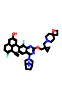 C#Cc1c(F)ccc2cc(O)cc(-c3c(Cl)cc4c(N5CC6CCC(C5)N6)nc(OCC5(CN6CCC7(CCO7)CC6)CC5)nc4c3F)c12